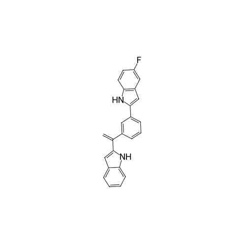 C=C(c1cccc(-c2cc3cc(F)ccc3[nH]2)c1)c1cc2ccccc2[nH]1